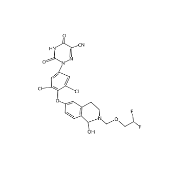 N#Cc1nn(-c2cc(Cl)c(Oc3ccc4c(c3)CCN(COCC(F)F)C4O)c(Cl)c2)c(=O)[nH]c1=O